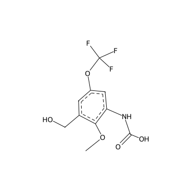 COc1c(CO)cc(OC(F)(F)F)cc1NC(=O)O